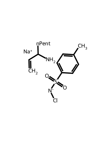 C=CC(N)CCCCC.Cc1ccc(S(=O)(=O)[N-]Cl)cc1.[Na+]